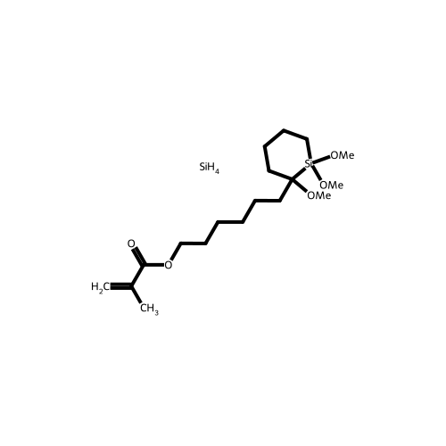 C=C(C)C(=O)OCCCCCCC1(OC)CCCC[Si]1(OC)OC.[SiH4]